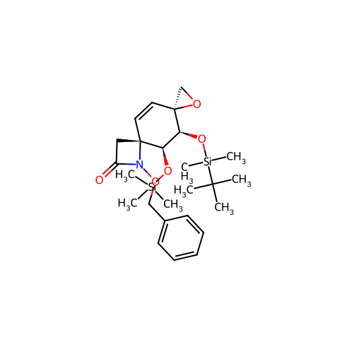 CC(C)(C)[Si](C)(C)O[C@H]1[C@@H](O[Si](C)(C)C)[C@]2(C=C[C@]13CO3)CC(=O)N2OCc1ccccc1